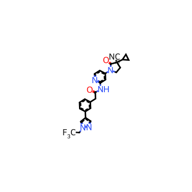 N#C[C@@]1(C2CC2)CCN(c2ccnc(NC(=O)Cc3cccc(-c4cnn(CC(F)(F)F)c4)c3)c2)C1=O